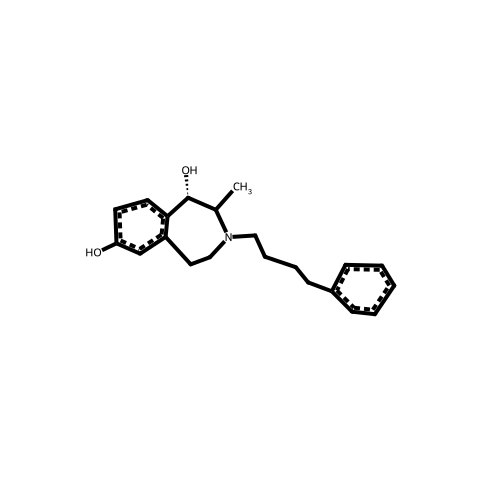 CC1[C@@H](O)c2ccc(O)cc2CCN1CCCCc1ccccc1